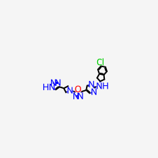 Clc1ccc2c(c1)CC(Nc1ncc(-c3nnc(N4CC(c5c[nH]nn5)C4)o3)cn1)C2